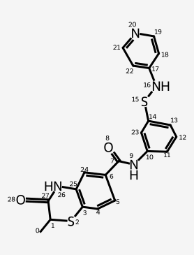 CC1Sc2ccc(C(=O)Nc3cccc(SNc4ccncc4)c3)cc2NC1=O